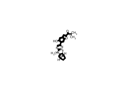 CN(C)C(=O)c1cc2cc(O)c(-c3cnc(N(C)[C@H]4C[C@@H]5CC[C@@H](N5)[C@H]4F)nn3)cc2o1